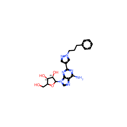 Nc1nc(-c2cnn(CCCc3ccccc3)c2)nc2c1ncn2C1OC(CO)[C@@H](O)[C@H]1O